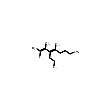 B/C(C)=C(C)/C(CCC)=C(\C)CCCC